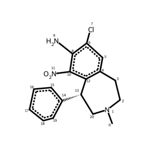 CN1CCc2cc(Cl)c(N)c([N+](=O)[O-])c2[C@@H](c2ccccc2)C1